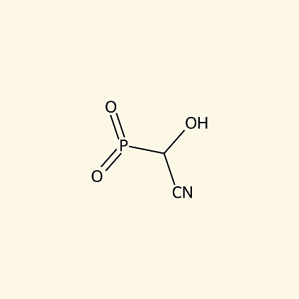 N#CC(O)P(=O)=O